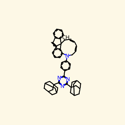 CC1/C=C\C=C/CN(c2ccc(-c3nc(C45CC6CC(CC(C6)C4)C5)nc(C45CC6CC(CC(C6)C4)C5)n3)cc2)c2ccccc2C12c1ccccc1-c1ccccc12